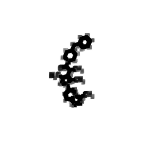 Cc1nn(-c2ccc3nnc(C)n3n2)c(C)c1C(C)C(=O)N1CCC(Cc2ccccc2)CC1